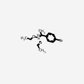 CCO[SiH](OCC)C(C)c1ccc(Br)cc1